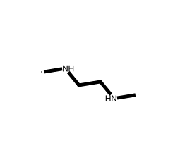 [CH2]NCCN[CH2]